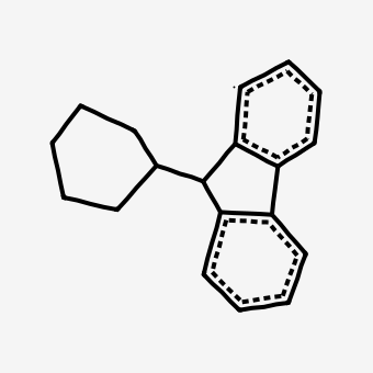 [c]1cccc2c1C(C1CCCCC1)c1ccccc1-2